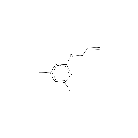 C=CCNc1nc(C)cc(C)n1